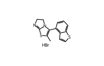 Br.CC1=C(c2cccc3sccc23)N2CCN=C2S1